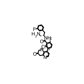 CN1CC(=O)Cc2nccc(-c3ccc(F)c(C(=O)N[C@H](CN)Cc4cccc(F)c4)c3)c21